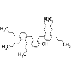 CCCCc1ccc(Cc2cccc(O)c2Cc2ccc(CCCC)c(CCCC)c2CCCC)c(CCCC)c1CCCC